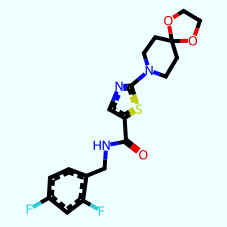 O=C(NCc1ccc(F)cc1F)c1cnc(N2CCC3(CC2)OCCO3)s1